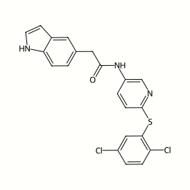 O=C(Cc1ccc2[nH]ccc2c1)Nc1ccc(Sc2cc(Cl)ccc2Cl)nc1